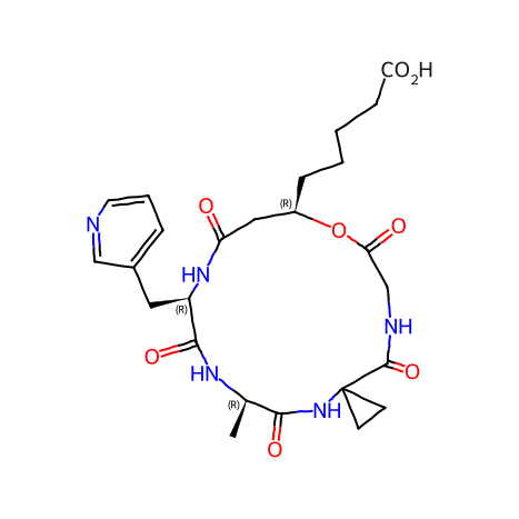 C[C@H]1NC(=O)[C@@H](Cc2cccnc2)NC(=O)C[C@@H](CCCCC(=O)O)OC(=O)CNC(=O)C2(CC2)NC1=O